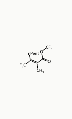 CCCCCC(=C(C)C(=O)OC(F)(F)F)C(F)(F)F